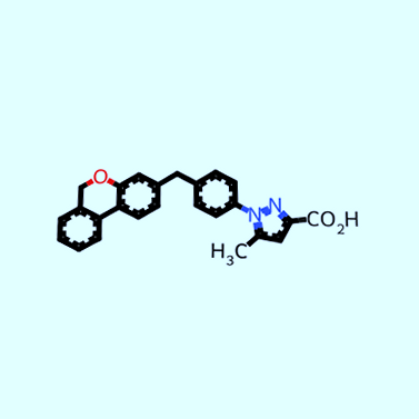 Cc1cc(C(=O)O)nn1-c1ccc(Cc2ccc3c(c2)OCc2ccccc2-3)cc1